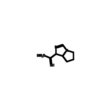 CCOC(=O)C(=N)C1N=CN2CCCC12